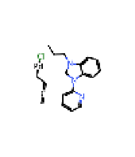 C=C=C[CH2][Pd][Cl].CCCN1CN(c2ccccn2)c2ccccc21